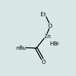 Br.CCCC[C](=O)[Zn][O]CC